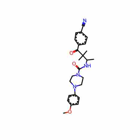 COc1ccc(N2CCN(C(=O)NC(C)C(C)(C)C(=O)c3ccc(C#N)cc3)CC2)cc1